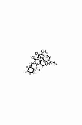 CC1=C[C@H]2[C@@H](CC1)[C@H](C)CC[C@H]2[C@@H](C)C(=O)OC(=O)OCc1ccccc1